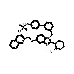 CS(=O)(=O)Nc1ccc(-c2cccc(Cn3c(C4CCCC[C@@H]4C(=O)O)nc4cc(OCc5ccc6ccccc6n5)ccc43)c2)cc1